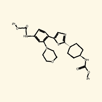 CC(C)OC(=O)Nc1ccc(-c2cnc([C@H]3CC[C@H](NC(=O)OC(C)C)CC3)s2)c(N2CCOCC2)c1